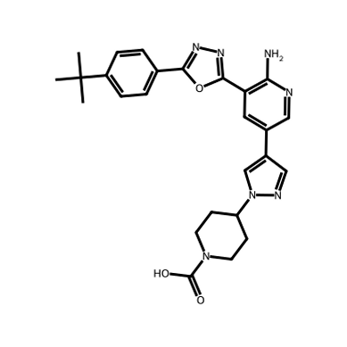 CC(C)(C)c1ccc(-c2nnc(-c3cc(-c4cnn(C5CCN(C(=O)O)CC5)c4)cnc3N)o2)cc1